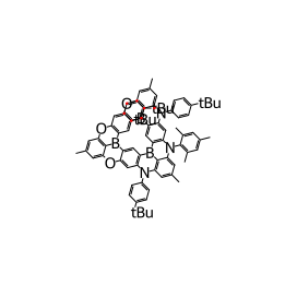 Cc1cc(C)c(N2c3cc4c(cc3B3c5cc6c(cc5N(c5ccc(C(C)(C)C)cc5)c5cc(C)cc2c53)Oc2cc(C)cc3c2B6c2cc(C(C)(C)C)ccc2O3)B2c3cc(C(C)(C)C)ccc3Oc3cc(C)cc(c32)N4c2ccc(C(C)(C)C)cc2)c(C)c1